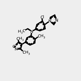 CCN(c1ccc(-n2ccnc2)c(Cl)c1)c1cc(-c2c(C)noc2C)ccc1C